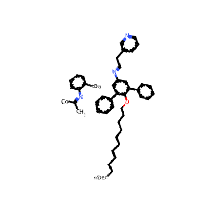 CCCCCCCCCCCCCCCCCCCCOc1c(-c2ccccc2)cc(N=CCc2cccnc2)cc1-c1ccccc1.C[C]([Co])=Nc1ccccc1C(C)(C)C